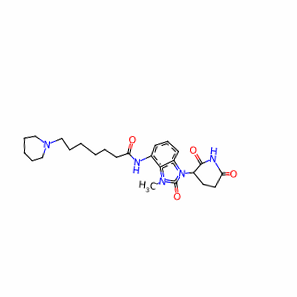 Cn1c(=O)n(C2CCC(=O)NC2=O)c2cccc(NC(=O)CCCCCCN3CCCCC3)c21